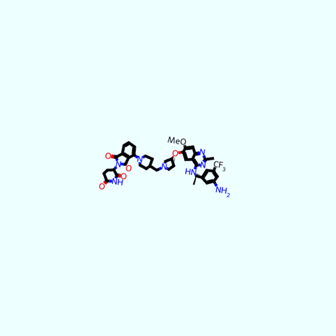 COc1cc2nc(C)nc(N[C@H](C)c3cc(N)cc(C(F)(F)F)c3)c2cc1O[C@H]1CCN(CC2CCN(c3cccc4c3C(=O)N(C3CCC(=O)NC3=O)C4=O)CC2)C1